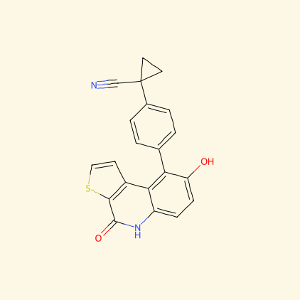 N#CC1(c2ccc(-c3c(O)ccc4[nH]c(=O)c5sccc5c34)cc2)CC1